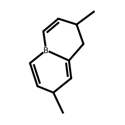 CC1C=CB2C=CC(C)CC2=C1